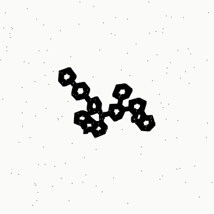 c1ccc(-c2ccc(-c3ccc(N(c4ccc(-c5cccc6c5oc5ccccc56)c(-c5ccccc5)c4)c4cccc5sc6ccccc6c45)cc3)cc2)cc1